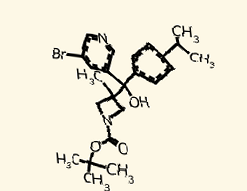 CC(C)c1ccc(C(O)(c2cncc(Br)c2)C2(C)CN(C(=O)OC(C)(C)C)C2)cc1